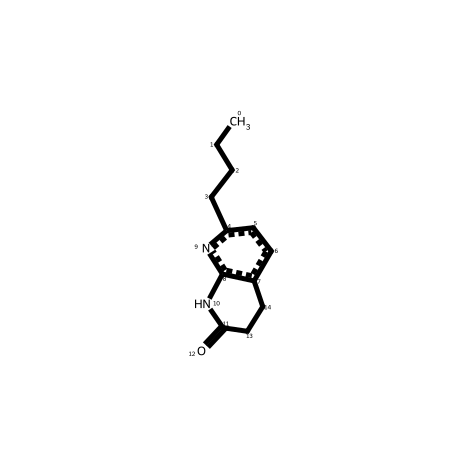 CCCCc1ccc2c(n1)NC(=O)CC2